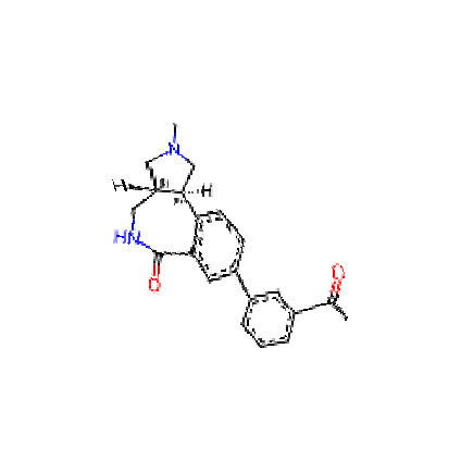 CC(=O)c1cccc(-c2ccc3c(c2)C(=O)NC[C@@H]2CN(C)C[C@@H]32)c1